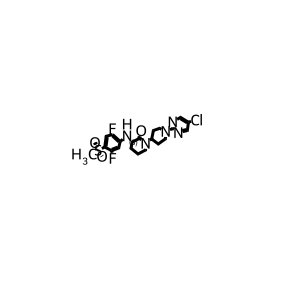 CS(=O)(=O)c1cc(F)c(N[C@H]2CCCN(C3CCN(c4ncc(Cl)cn4)CC3)C2=O)cc1F